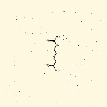 CC(O)COCCNC(=N)N